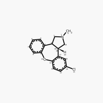 CN1CC2c3ccccc3Oc3ccc(Cl)cc3[C@H]2C1